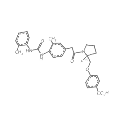 Cc1ccccc1NC(=O)Nc1ccc(CC(=O)N2CCC[C@]2(F)COc2ccc(C(=O)O)cc2)cc1C